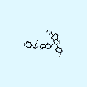 Nc1ccc2nc(-c3ccc(F)cc3)c(-c3ccc4nc(NC(=O)c5ccncc5)cn4n3)n2n1